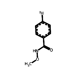 [2H]c1ccc(C(=O)NOC)cc1